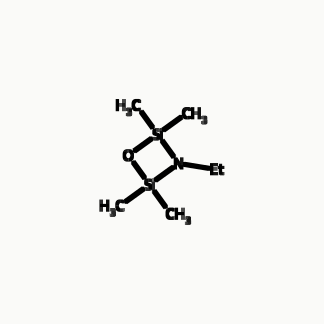 CCN1[Si](C)(C)O[Si]1(C)C